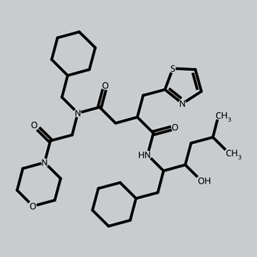 CC(C)CC(O)C(CC1CCCCC1)NC(=O)C(CC(=O)N(CC(=O)N1CCOCC1)CC1CCCCC1)Cc1nccs1